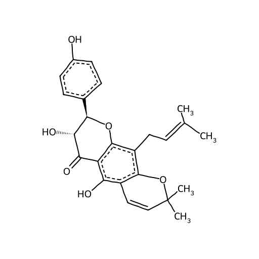 CC(C)=CCc1c2c(c(O)c3c1O[C@H](c1ccc(O)cc1)[C@@H](O)C3=O)C=CC(C)(C)O2